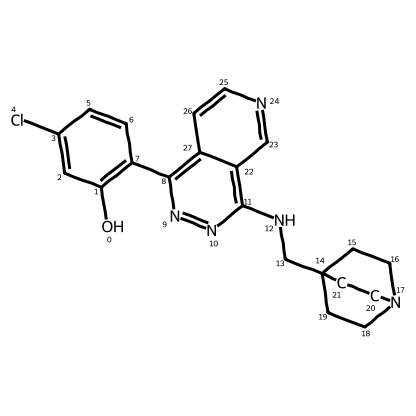 Oc1cc(Cl)ccc1-c1nnc(NCC23CCN(CC2)CC3)c2cnccc12